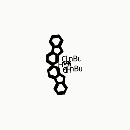 CCCC[SiH](CCCC)[Hf]([Cl])([Cl])([c]1cccc2c1Cc1ccccc1-2)[c]1cccc2c1Cc1ccccc1-2